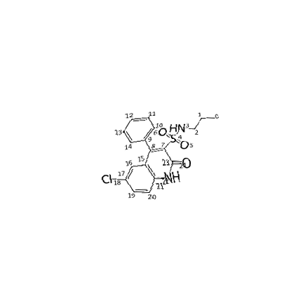 CCCNS(=O)(=O)c1c(-c2ccccc2)c2cc(Cl)ccc2[nH]c1=O